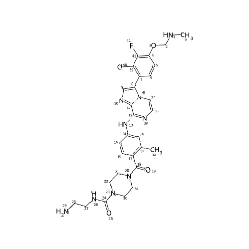 CNCOc1ccc(-c2cnc3c(Nc4ccc(C(=O)N5CCN(C(=O)NCCN)CC5)c(C)c4)nccn23)c(Cl)c1F